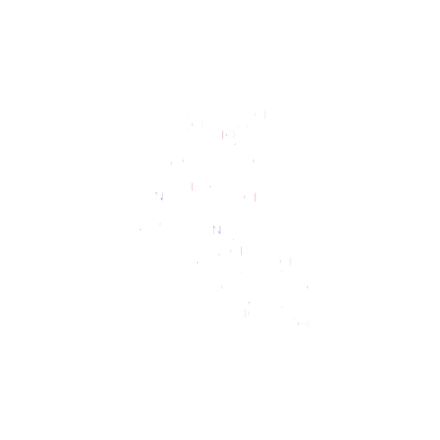 CN1CCC[C@H]1c1cccnc1.O.O.O=C(O)C(O)C(O)C(=O)O.O=C(O)C(O)C(O)C(=O)O